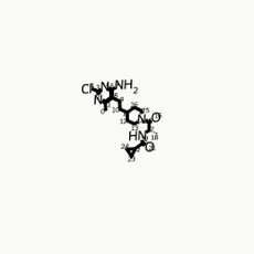 Cc1nc(Cl)nc(N)c1CCC1CCN(C(=O)[C@H](C)NC(=O)C2CC2)CC1